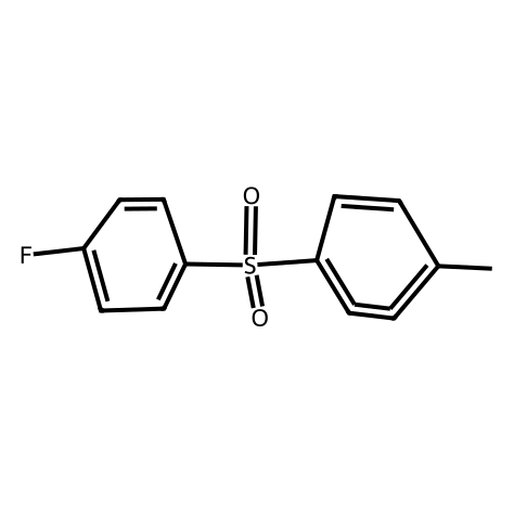 CC1=C=C=C(S(=O)(=O)c2ccc(F)cc2)C=C1